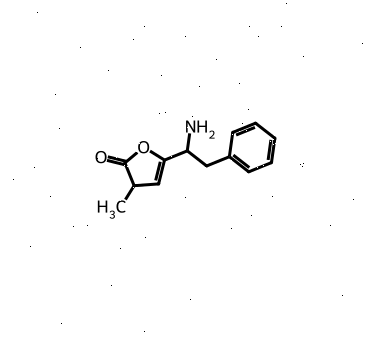 CC1C=C(C(N)Cc2ccccc2)OC1=O